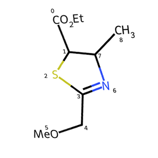 CCOC(=O)C1SC(COC)=NC1C